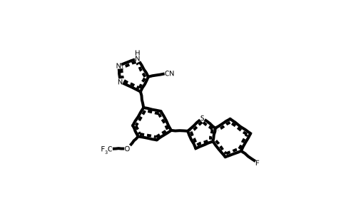 N#Cc1[nH]nnc1-c1cc(OC(F)(F)F)cc(-c2cc3cc(F)ccc3s2)c1